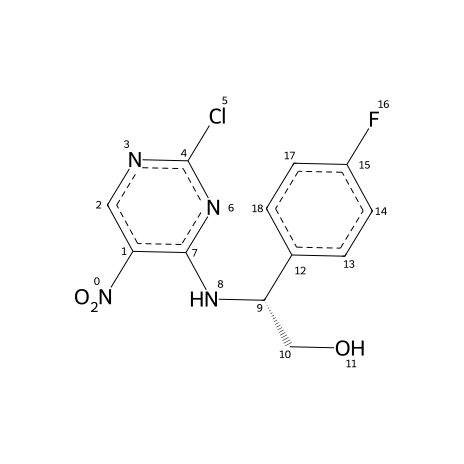 O=[N+]([O-])c1cnc(Cl)nc1N[C@@H](CO)c1ccc(F)cc1